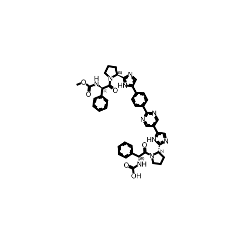 COC(=O)N[C@@H](C(=O)N1CCC[C@H]1c1ncc(-c2ccc(-c3ncc(-c4cnc([C@@H]5CCCN5C(=O)[C@H](NC(=O)O)c5ccccc5)[nH]4)cn3)cc2)[nH]1)c1ccccc1